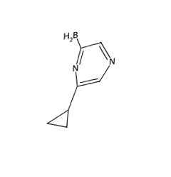 Bc1cncc(C2CC2)n1